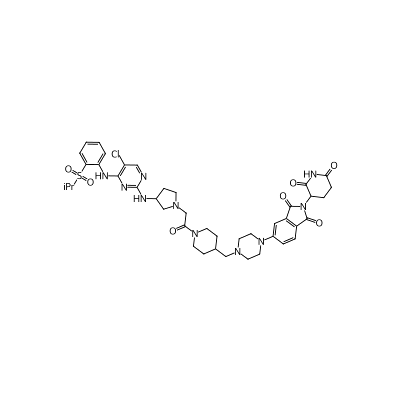 CC(C)S(=O)(=O)c1ccccc1Nc1nc(NC2CCN(CC(=O)N3CCC(CN4CCN(c5ccc6c(c5)C(=O)N(C5CCC(=O)NC5=O)C6=O)CC4)CC3)C2)ncc1Cl